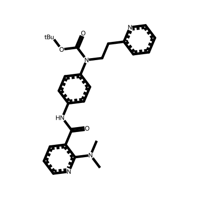 CN(C)c1ncccc1C(=O)Nc1ccc(N(CCc2ccccn2)C(=O)OC(C)(C)C)cc1